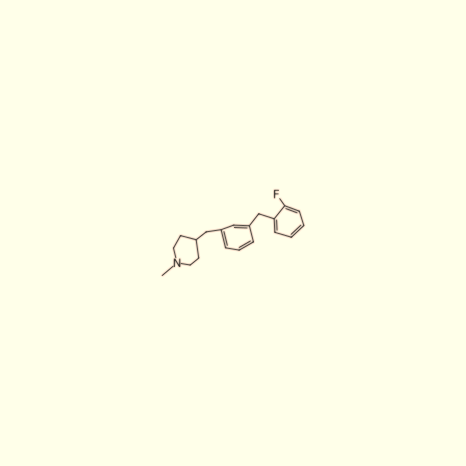 CN1CCC(Cc2cccc(Cc3ccccc3F)c2)CC1